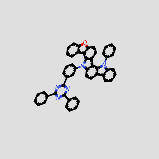 c1ccc(-c2nc(-c3ccccc3)nc(-c3cccc(-n4c5ccc6c7ccccc7n(-c7ccccc7)c6c5c5ccc6oc7ccccc7c6c54)c3)n2)cc1